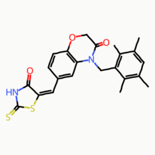 Cc1cc(C)c(C)c(CN2C(=O)COc3ccc(/C=C4/SC(=S)NC4=O)cc32)c1C